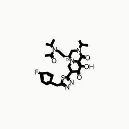 CC(=O)N(CC[C@H]1CN(C(C)C)C(=O)C2=C(O)C(=O)C(c3nnc(Cc4ccc(F)cc4)s3)CN21)C(C)C